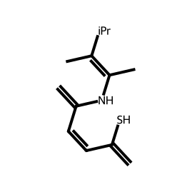 C=C(S)/C=C\C(=C)NC(C)=C(C)C(C)C